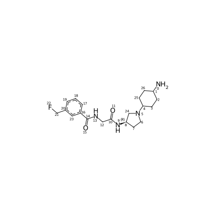 NC1CCC(N2CC[C@@H](NC(=O)CNC(=O)c3cccc(CF)c3)C2)CC1